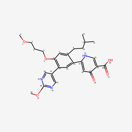 COCCCOc1cc(CCC(C)C)c(-c2cc(=O)c(C(=O)O)c[nH]2)cc1-c1cnc(OC)nc1